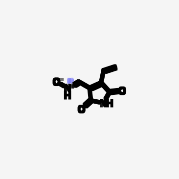 C=CC1=C(/C=[NH+]/[O-])C(=O)NC1=O